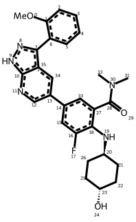 COc1ccccc1-c1n[nH]c2ncc(-c3cc(F)c(N[C@H]4CC[C@H](O)CC4)c(C(=O)N(C)C)c3)cc12